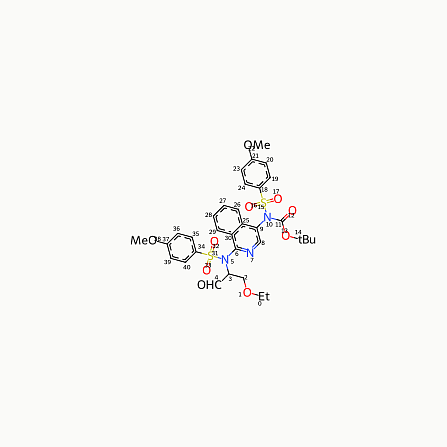 CCOCC(C=O)N(c1ncc(N(C(=O)OC(C)(C)C)S(=O)(=O)c2ccc(OC)cc2)c2ccccc12)S(=O)(=O)c1ccc(OC)cc1